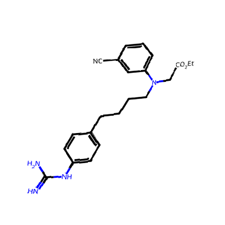 CCOC(=O)CN(CCCCc1ccc(NC(=N)N)cc1)c1cccc(C#N)c1